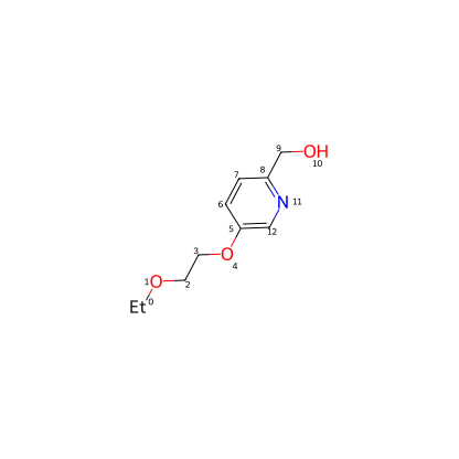 CCOCCOc1ccc(CO)nc1